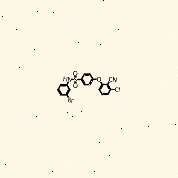 N#Cc1c(Cl)cccc1Oc1ccc(S(=O)(=O)Nc2cccc(Br)c2)cc1